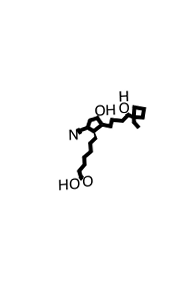 CCC1(C(O)CCCC2[C@@H](CCCCCCC(=O)O)C(C#N)C[C@H]2O)CCC1